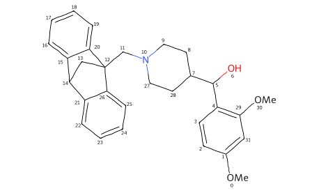 COc1ccc(C(O)C2CCN(CC34CC(c5ccccc53)c3ccccc34)CC2)c(OC)c1